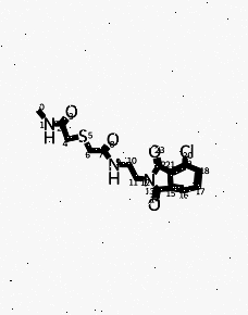 CNC(=O)CSCC(=O)NCCN1C(=O)c2cccc(Cl)c2C1=O